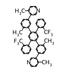 Cc1ccncc1-c1ccc(C)c(-c2cc(-c3ccccc3C(F)(F)F)c(-c3cc(-c4cnccc4C)ccc3C)cc2-c2ccccc2C(F)(F)F)c1